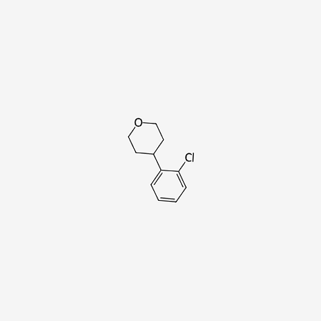 Clc1ccccc1C1CCOCC1